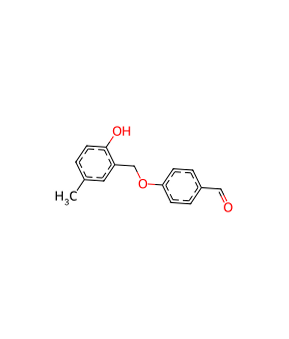 Cc1ccc(O)c(COc2ccc(C=O)cc2)c1